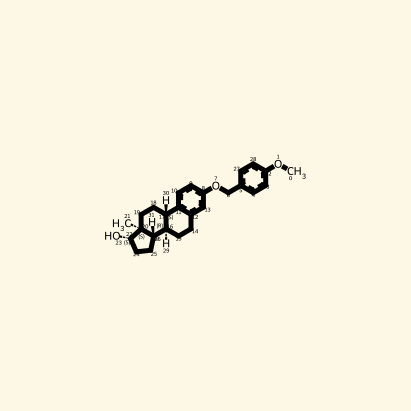 COc1ccc(COc2ccc3c(c2)CC[C@@H]2[C@@H]3CC[C@]3(C)[C@@H](O)CC[C@@H]23)cc1